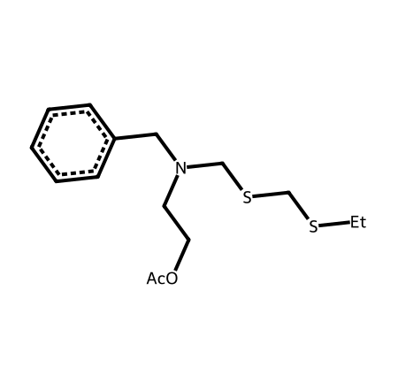 CCSCSCN(CCOC(C)=O)Cc1ccccc1